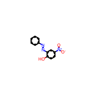 O=[N+]([O-])c1ccc(O)c(N=Nc2ccccc2)c1